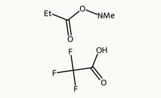 CCC(=O)ONC.O=C(O)C(F)(F)F